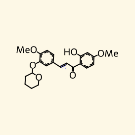 COc1ccc(C(=O)/C=C/c2ccc(OC)c(OC3CCCCO3)c2)c(O)c1